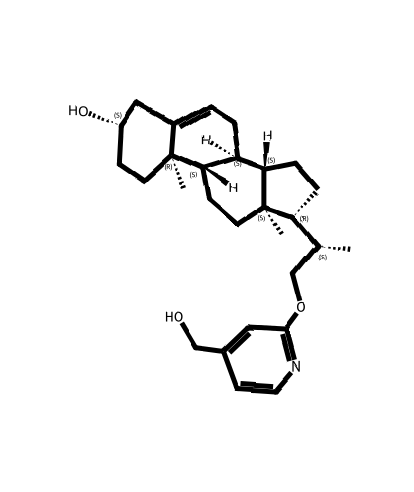 C[C@H](COc1cc(CO)ccn1)[C@H]1CC[C@H]2[C@@H]3CC=C4C[C@@H](O)CC[C@]4(C)[C@H]3CC[C@]12C